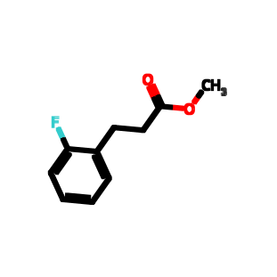 COC(=O)CCc1ccccc1F